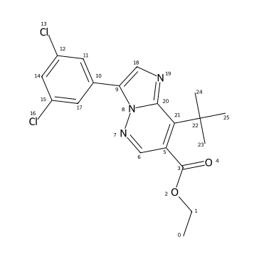 CCOC(=O)c1cnn2c(-c3cc(Cl)cc(Cl)c3)cnc2c1C(C)(C)C